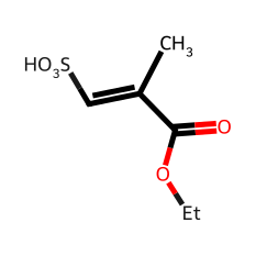 CCOC(=O)C(C)=CS(=O)(=O)O